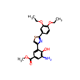 CCOc1ccc(-c2nc(-c3cc(C(=O)OC)cc(N)c3O)cs2)cc1OCC